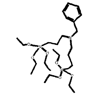 CCO[Si](CCCN(CCC[Si](OCC)(OCC)OCC)Cc1ccccc1)(OCC)OCC